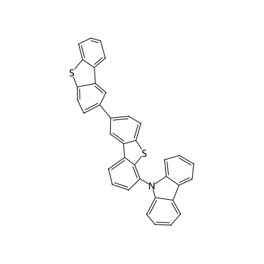 c1ccc2c(c1)sc1ccc(-c3ccc4sc5c(-n6c7ccccc7c7ccccc76)cccc5c4c3)cc12